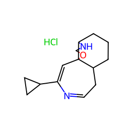 C1=NC(C2CC2)=CC23OCNC2CCCC3C1.Cl